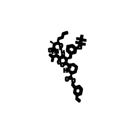 C=CCC[C@@H](OC)[C@@H](C)C(=O)N[C@H](C(=O)N[C@@H](Cc1cccc(O[Si](C)(C)C(C)(C)C)c1)C(=O)N1CCC[C@@H](C(=O)OCc2cccc(C=C)c2)N1)C(C)C